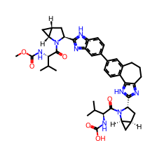 COC(=O)N[C@H](C(=O)N1[C@@H]2C[C@@H]2C[C@H]1c1nc2cc(-c3ccc4c(c3)CCCc3nc([C@@H]5C[C@H]6C[C@H]6N5C(=O)[C@@H](NC(=O)O)C(C)C)[nH]c3-4)ccc2[nH]1)C(C)C